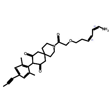 CC#Cc1cc(C)c(C2C(=O)CC3(CCN(C(=O)COCC/C=C\C=C/N)CC3)CC2=O)c(C)c1